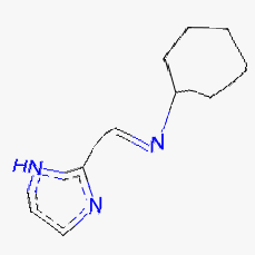 C(=N\C1CCCCC1)/c1ncc[nH]1